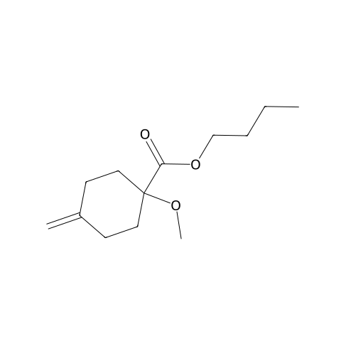 C=C1CCC(OC)(C(=O)OCCCC)CC1